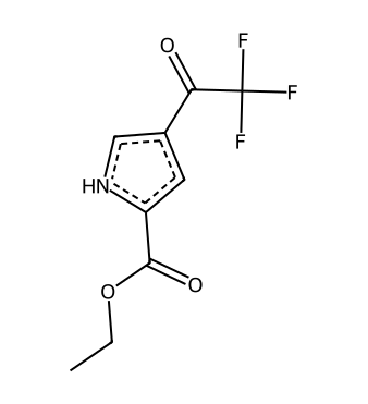 CCOC(=O)c1cc(C(=O)C(F)(F)F)c[nH]1